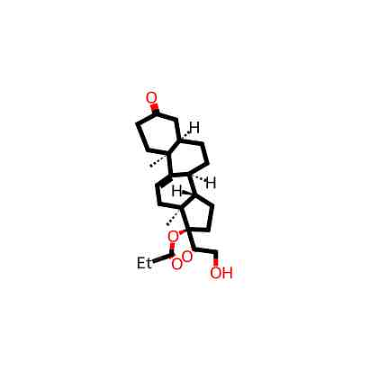 CCC(=O)O[C@]1(C(=O)CO)CC[C@H]2[C@@H]3CC[C@@H]4CC(=O)CC[C@]4(C)C3=CC[C@@]21C